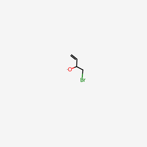 C=CC([O])CBr